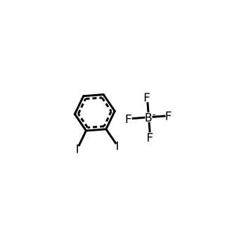 F[B-](F)(F)F.Ic1ccccc1I